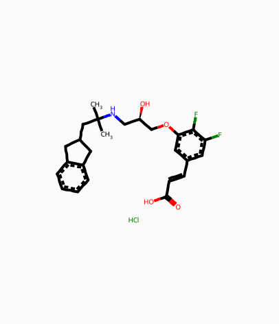 CC(C)(CC1Cc2ccccc2C1)NC[C@@H](O)COc1cc(C=CC(=O)O)cc(F)c1F.Cl